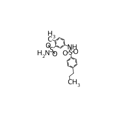 CCCc1ccc(S(=O)(=O)Nc2ccc(C)c(S(N)(=O)=O)c2)cc1